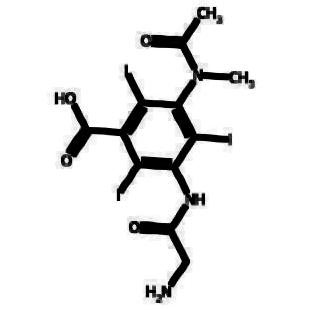 CC(=O)N(C)c1c(I)c(NC(=O)CN)c(I)c(C(=O)O)c1I